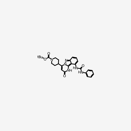 CC(C)(C)OC(=O)N1CCC(c2cc(=O)[nH]c3c4c(NC(=O)Nc5ccccc5)cccc4nn23)CC1